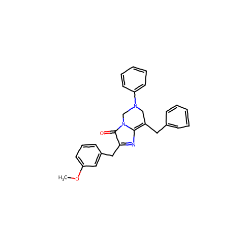 COc1cccc(CC2=NC3=C(Cc4ccccc4)CN(c4ccccc4)CN3C2=O)c1